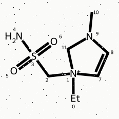 CC[N+]1(CS(N)(=O)=O)C=CN(C)C1